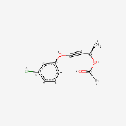 CCC(=O)O[C@H](C)C#COc1cccc(Cl)c1